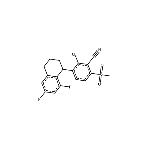 CS(=O)(=O)c1ccc(C2CCCc3cc(F)cc(F)c32)c(Cl)c1C#N